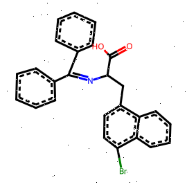 O=C(O)C(Cc1ccc(Br)c2ccccc12)N=C(c1ccccc1)c1ccccc1